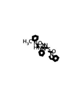 Cc1ccccc1NC(=O)Cn1c2ccccc2n2c(SCC(=O)N3CCc4ccccc43)nnc12